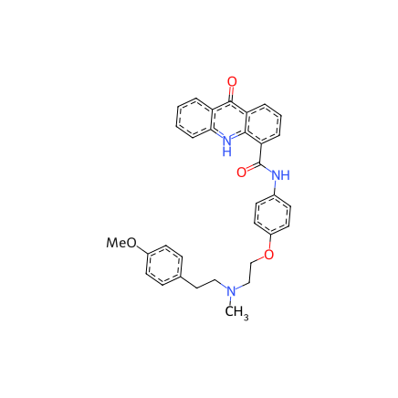 COc1ccc(CCN(C)CCOc2ccc(NC(=O)c3cccc4c(=O)c5ccccc5[nH]c34)cc2)cc1